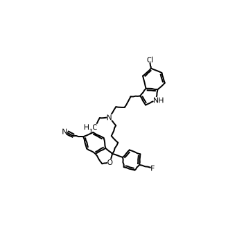 CCN(CCCc1c[nH]c2ccc(Cl)cc12)CCCC1(c2ccc(F)cc2)OCc2cc(C#N)ccc21